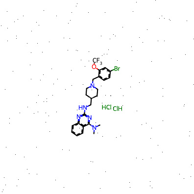 CN(C)c1nc(NCC2CCN(Cc3ccc(Br)cc3OC(F)(F)F)CC2)nc2ccccc12.Cl.Cl